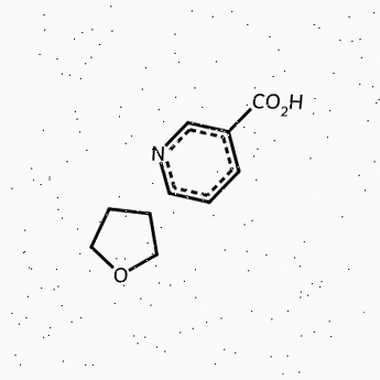 C1CCOC1.O=C(O)c1cccnc1